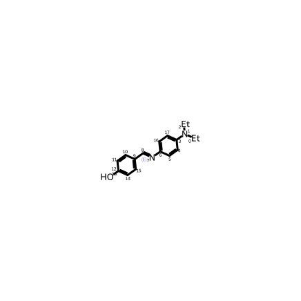 CCN(CC)c1ccc(/N=C/c2ccc(O)cc2)cc1